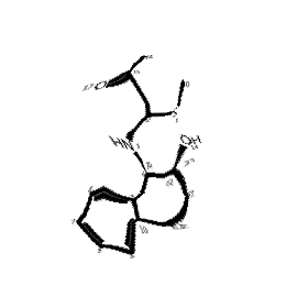 CSC(N[C@@H]1c2ccccc2CC[C@@H]1O)C(C)=O